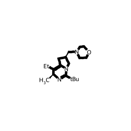 CCC1=C2C[C@@H](CN3CCOCC3)CN2C(C(C)(C)C)=N[C@H]1C